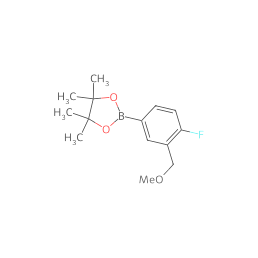 COCc1cc(B2OC(C)(C)C(C)(C)O2)ccc1F